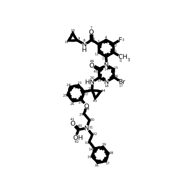 Cc1c(F)cc(C(=O)NC2CC2)cc1-n1cc(Br)nc(NC2(c3ccccc3OCCN(CCc3ccccc3)C(=O)O)CC2)c1=O